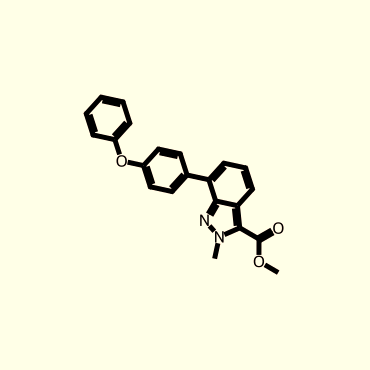 COC(=O)c1c2cccc(-c3ccc(Oc4ccccc4)cc3)c2nn1C